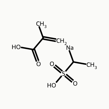 C=C(C)C(=O)O.C[CH]([Na])S(=O)(=O)O